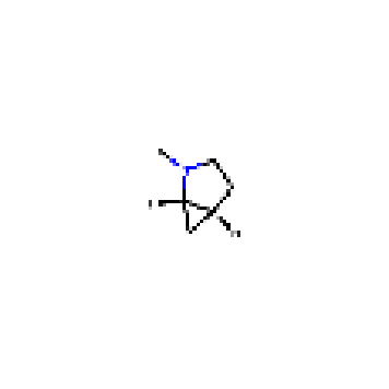 CN1CC[C@@H]2C[C@@H]21